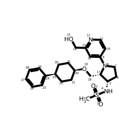 CS(=O)(=O)N[C@H]1CCN(c2ccnc(CO)c2)[C@H]1CO[C@H]1CC[C@@H](c2ccccc2)CC1